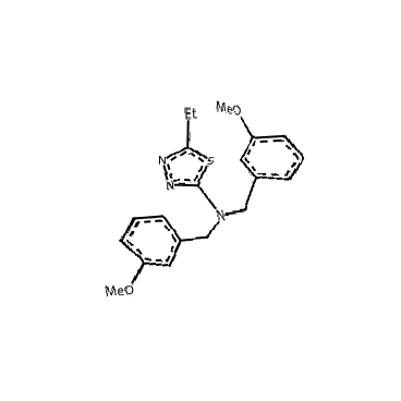 CCc1nnc(N(Cc2cccc(OC)c2)Cc2cccc(OC)c2)s1